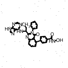 CCC(Nc1ncnc2[nH]cnc12)c1nc2cccc(-c3ccc(C(=O)NO)cc3)c2c(=O)n1-c1ccccc1